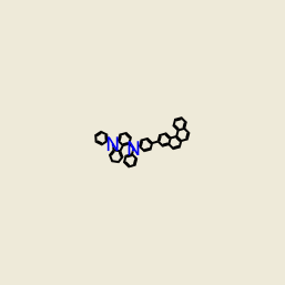 C1=c2c(n(-c3ccccc3)c3cccc(N(c4ccccc4)c4ccc(-c5ccc6c(ccc7ccc8ccccc8c76)c5)cc4)c23)=CCC1